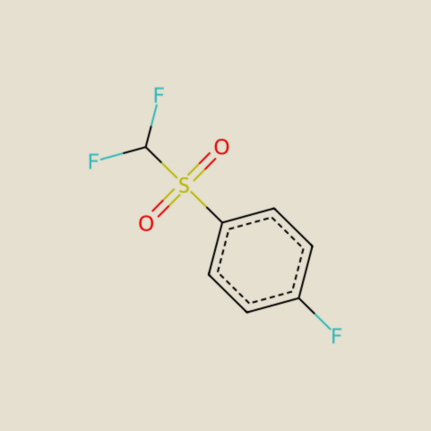 O=S(=O)(c1ccc(F)cc1)C(F)F